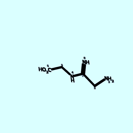 N=C(CN)NCC(=O)O